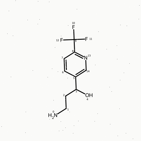 NCCC(O)c1ccc(C(F)(F)F)nc1